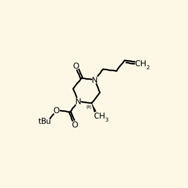 C=CCCN1C[C@@H](C)N(C(=O)OC(C)(C)C)CC1=O